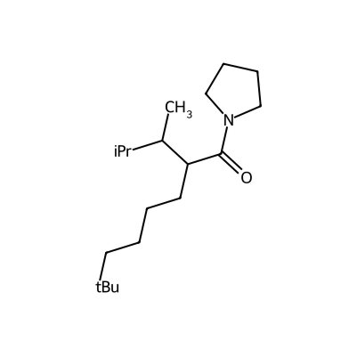 CC(C)C(C)C(CCCCC(C)(C)C)C(=O)N1CCCC1